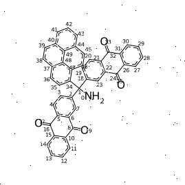 NC(c1ccc2c(c1)C(=O)c1ccccc1C2=O)(c1ccc2c(c1)C(=O)c1ccccc1C2=O)c1ccc2ccc3cccc4ccc1c2c34